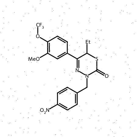 CCC1SC(=O)N(Cc2ccc([N+](=O)[O-])cc2)N=C1c1ccc(OC(F)(F)F)c(OC)c1